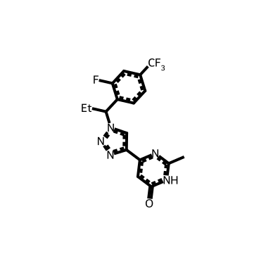 CCC(c1ccc(C(F)(F)F)cc1F)n1cc(-c2cc(=O)[nH]c(C)n2)nn1